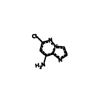 Nc1cc(Cl)nn2ccnc12